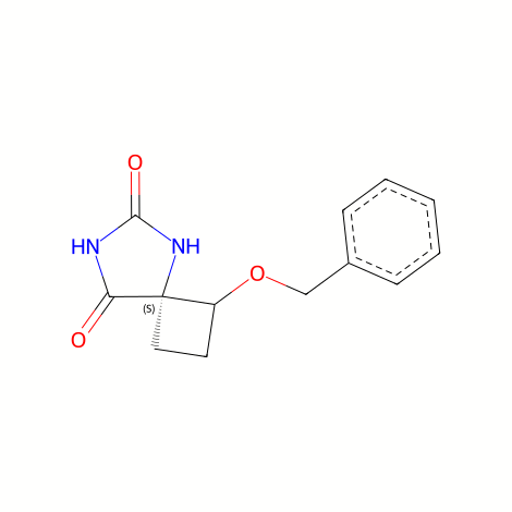 O=C1NC(=O)[C@@]2(CCC2OCc2ccccc2)N1